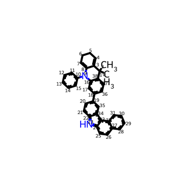 CC1(C)C2=CCCC=C2N(c2ccccc2)c2cc(-c3ccc4[nH]c5ccc6ccccc6c5c4c3)ccc21